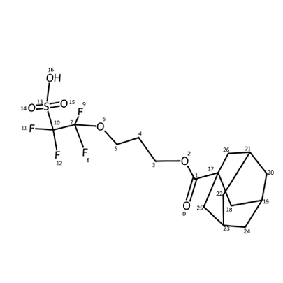 O=C(OCCCOC(F)(F)C(F)(F)S(=O)(=O)O)C12CC3CC(CC(C3)C1)C2